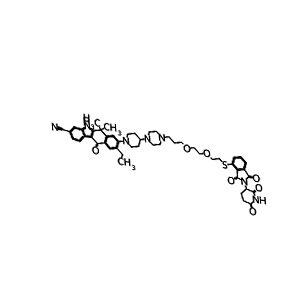 CCc1cc2c(cc1N1CCC(N3CCN(CCCOCCOCCSc4cccc5c4C(=O)N(C4CCC(=O)NC4=O)C5=O)CC3)CC1)C(C)(C)c1[nH]c3cc(C#N)ccc3c1C2=O